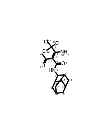 CC(=O)/C(C(=O)NC1C2CC3CC(C2)CC1C3)=C(/N)C(Cl)(Cl)Cl